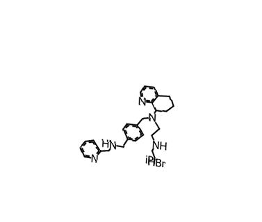 Br.CC(C)CNCCN(Cc1ccc(CNCc2ccccn2)cc1)C1CCCc2cccnc21